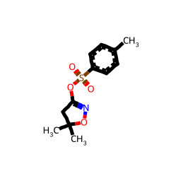 Cc1ccc(S(=O)(=O)OC2=NOC(C)(C)C2)cc1